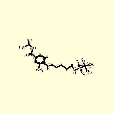 Cc1cc(C(=O)NC(C)C)ccc1NCCCCCNS(=O)(=O)C(C)(C)C